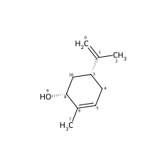 C=C(C)[C@@H]1CC=C(C)[C@H](O)C1